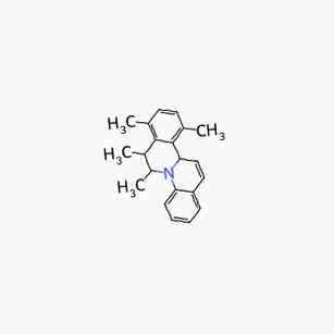 Cc1ccc(C)c2c1C(C)C(C)N1c3ccccc3C=CC21